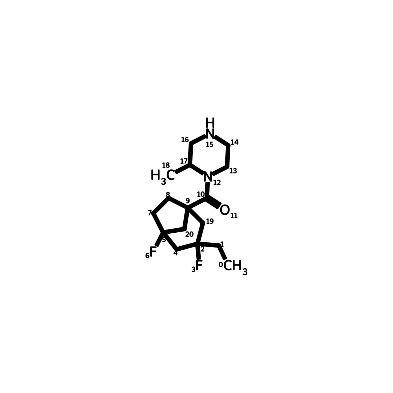 CCC1(F)CC2(F)CCC(C(=O)N3CCNCC3C)(C1)C2